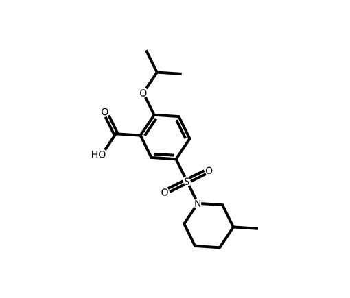 CC1CCCN(S(=O)(=O)c2ccc(OC(C)C)c(C(=O)O)c2)C1